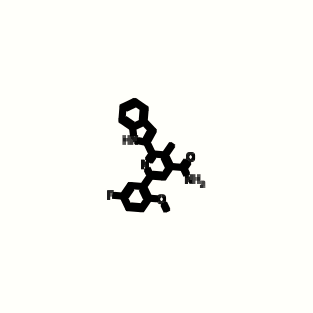 COc1ccc(F)cc1-c1cc(C(N)=O)c(C)c(-c2cc3ccccc3[nH]2)n1